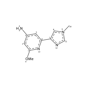 COc1cc(N)cc(-c2cn(C)cn2)n1